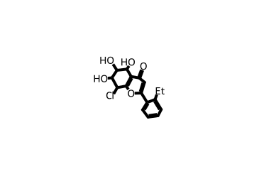 CCc1ccccc1-c1cc(=O)c2c(o1)C(Cl)C(O)C(O)C2O